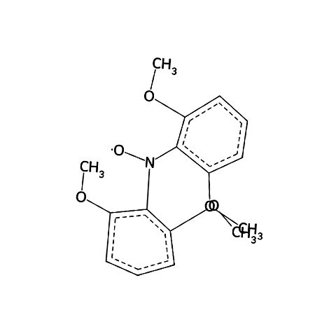 COc1cccc(OC)c1N([O])c1c(OC)cccc1OC